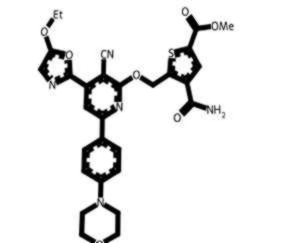 CCOc1cnc(-c2cc(-c3ccc(N4CCOCC4)cc3)nc(OCc3sc(C(=O)OC)cc3C(N)=O)c2C#N)o1